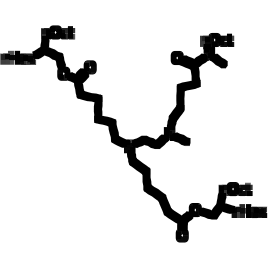 CCCCCCCCC(CCCCCC)COC(=O)CCCCCN(CCCCCC(=O)OCC(CCCCCC)CCCCCCCC)CCN(C)CCCCC(=O)N(C)CCCCCCCC